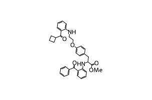 COC(=O)C(Cc1ccc(OCCNc2ccccc2C(=O)C2CCC2)cc1)Nc1ccccc1C(=O)c1ccccc1